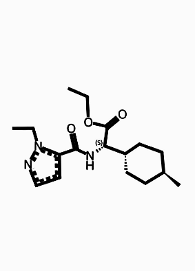 CCOC(=O)[C@@H](NC(=O)c1ccnn1CC)[C@H]1CC[C@H](C)CC1